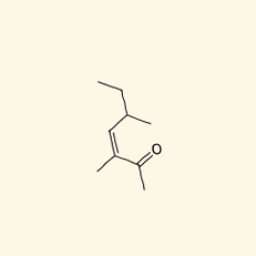 CCC(C)C=C(C)C(C)=O